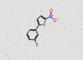 O=[N+]([O-])c1ccc(-c2cccc(F)c2)s1